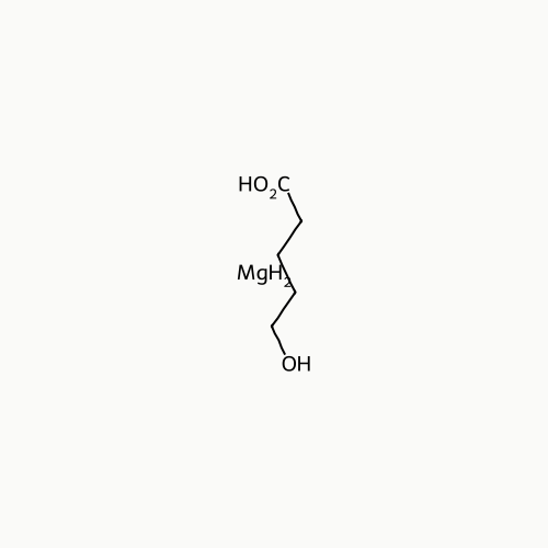 O=C(O)CCCCO.[MgH2]